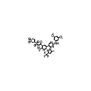 COc1cc(Nc2ncc(-c3cnc(OC)c(C(=O)NS(=O)(=O)C4=CCS(=O)(=O)C4)c3)c(-n3nc(C(F)(F)F)cc3C)n2)cc(OC)c1